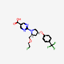 O=C(O)c1cnc(N2C[C@H](Oc3ccc(C(F)(F)F)cc3)C[C@H]2COCCF)nc1